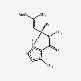 CO/C(C)=C/[C@](C)(C(C)C)N(C)C(=O)c1[nH]ncc1C